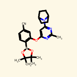 Cc1nc(Oc2cc(C#N)ccc2B2OC(C)(C)C(C)(C)O2)cc(N2C3CCC2CC3)n1